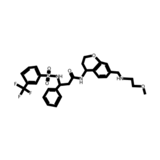 COCCNCc1ccc2c(c1)OCCC2NC(=O)CC(NS(=O)(=O)c1cccc(C(F)(F)F)c1)c1ccccc1